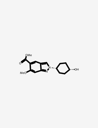 COC(=O)c1cc2cn([C@H]3CC[C@@H](O)CC3)nc2cc1OC